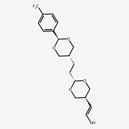 CCCC=C[C@H]1CO[C@H](CC[C@H]2CO[C@H](c3ccc(C(F)(F)F)cc3)OC2)OC1